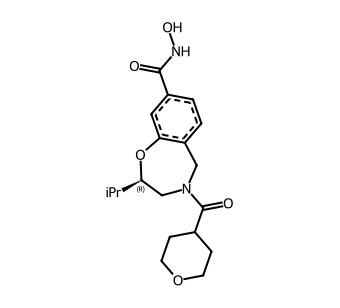 CC(C)[C@@H]1CN(C(=O)C2CCOCC2)Cc2ccc(C(=O)NO)cc2O1